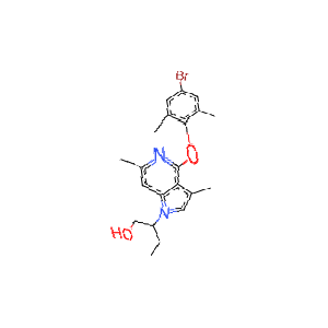 CCC(CO)n1cc(C)c2c(Oc3c(C)cc(Br)cc3C)nc(C)cc21